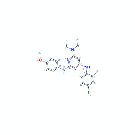 CCN(CC)c1cc(Nc2ccc(F)cc2C)nc(Nc2ccc(OC)cc2)n1